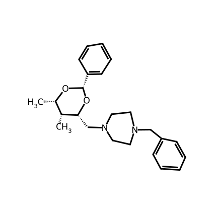 C[C@@H]1[C@H](C)O[C@H](c2ccccc2)O[C@@H]1CN1CCN(Cc2ccccc2)CC1